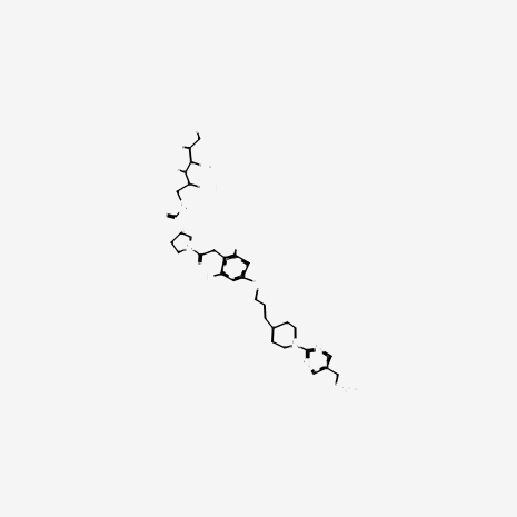 COCc1cnc(N2CCC(CCCOc3cc(F)c(CC(=O)N4CC[C@H](C(=O)NCC(O)C(O)C(O)C(O)CO)C4)c(F)c3)CC2)nc1